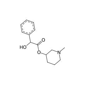 CN1CCCC(OC(=O)C(O)c2ccccc2)C1